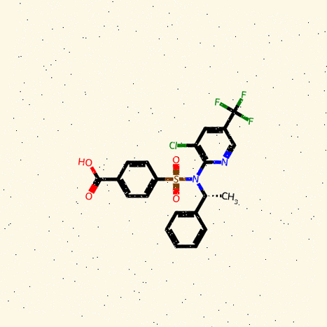 C[C@H](c1ccccc1)N(c1ncc(C(F)(F)F)cc1Cl)S(=O)(=O)c1ccc(C(=O)O)cc1